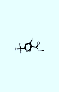 COC(=O)c1cnc(C(F)(F)F)cc1I